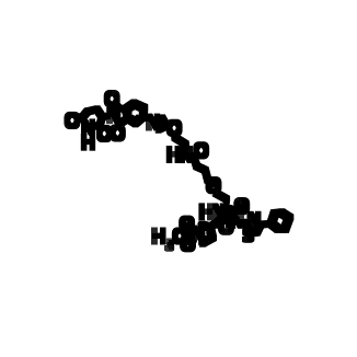 CS(=O)(=O)n1ccc(C(=O)N[C@@H](CCOCCCC(=O)NCCOC2CN(c3ccc4c(c3)C(=O)N(C3CCC(=O)NC3=O)C4=O)C2)C(=O)Nc2nc(-c3ccccc3)cs2)c1